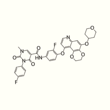 Cn1cc(C(=O)Nc2ccc(Oc3ccnc4cc(OC5CCOCC5)c5c(c34)OCCO5)c(F)c2)c(=O)n(-c2ccc(F)cc2)c1=O